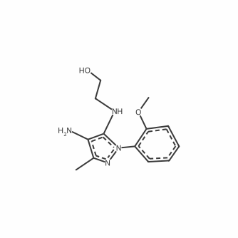 COc1ccccc1-n1nc(C)c(N)c1NCCO